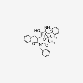 CC(C)(C)OC(=O)N(Cc1ccccc1)C(=O)C(Cc1ccccc1)CC(O)C(N)Cc1ccccc1